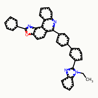 CCn1c(-c2cccc(-c3ccc(-c4nc5ccccc5c5c4ccc4oc(-c6ccccc6)nc45)cc3)c2)nc2ccccc21